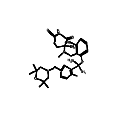 BC(B)(Oc1cccc(C=O)c1CN(C)C1(B)CCC(=O)NC1=O)c1cc(CN2CC(C)(C)OC(C)(C)C2)ccc1F